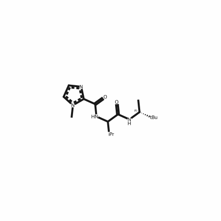 CC(C)C(NC(=O)c1nccn1C)C(=O)N[C@H](C)C(C)(C)C